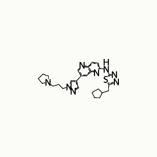 c1nc2ccc(Nc3nnc(CC4CCCC4)s3)nc2cc1-c1cnn(CCCN2CCCC2)c1